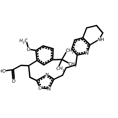 COc1ccc(C(C)(C)C)cc1C(CC(=O)O)Cc1nc(CCCc2ccc3c(n2)NCCC3)no1